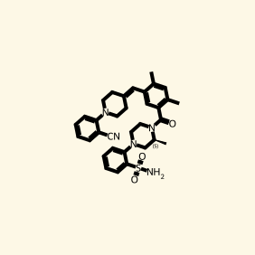 Cc1cc(C)c(C(=O)N2CCN(c3ccccc3S(N)(=O)=O)C[C@@H]2C)cc1C=C1CCN(c2ccccc2C#N)CC1